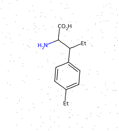 CCc1ccc(C(CC)C(N)C(=O)O)cc1